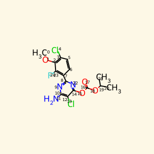 COc1c(Cl)ccc(-c2nc(N)c(Cl)c(OC(=O)OC(C)C)n2)c1F